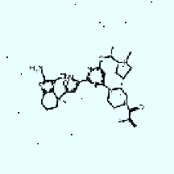 C=C(F)C(=O)N1CCN(c2cc(O[C@@H](C)[C@@H]3CCCN3C)nc(-c3cc([C@@]4(C)CCCc5sc(N)c(C#N)c54)on3)n2)[C@H](C)C1